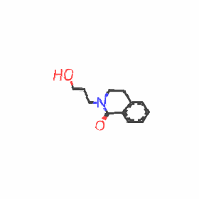 O=C1c2ccccc2CCN1CCCO